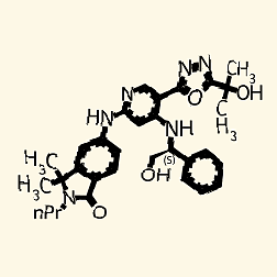 CCCN1C(=O)c2ccc(Nc3cc(N[C@H](CO)c4ccccc4)c(-c4nnc(C(C)(C)O)o4)cn3)cc2C1(C)C